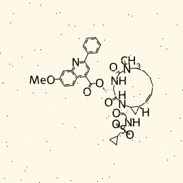 COc1ccc2c(C(=O)OC[C@@H]3NC(=O)N(C)CCCC/C=C\[C@@H]4C[C@@]4(C(=O)NS(=O)(=O)C4CC4)NC3=O)cc(-c3ccccc3)nc2c1